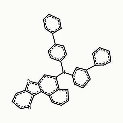 c1ccc(-c2ccc(N(c3cccc(-c4ccccc4)c3)c3cc4oc5cccnc5c4c4ccccc34)cc2)cc1